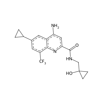 Nc1cc(C(=O)NCC2(O)CC2)nc2c(C(F)(F)F)cc(C3CC3)cc12